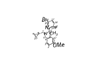 COc1ccc(CN(CC2CC2)C(C)c2nc(Br)ccc2F)cc1